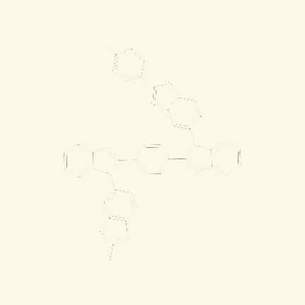 Cc1ccc(-c2nc3cc(-n4c(-c5ccc(-c6nc7ccccc7n6-c6ccc7nc(C)[nH]c7c6)cc5)nc5ccccc54)ccc3[nH]2)cc1